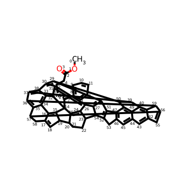 COC(=O)CCC[C@H](c1ccccc1)C12C3=C4C5=CC3C3CCC6C(=C31)c1c3c7c8c9c1[C@@H]2c1c4c2c4c(c1-9)C1c9c%10c(cc%11cc%12c(c(c9%11)C81)C7=C(C%12)C36)C=C(C2C5)C4%10